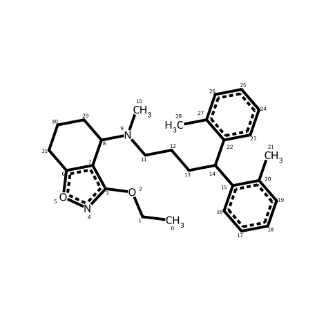 CCOc1noc2c1C(N(C)CCCC(c1ccccc1C)c1ccccc1C)CCC2